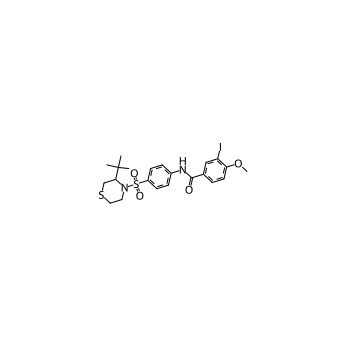 COc1ccc(C(=O)Nc2ccc(S(=O)(=O)N3CCSCC3C(C)(C)C)cc2)cc1I